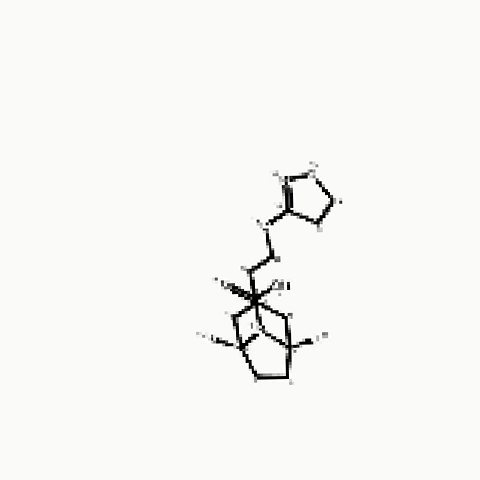 O=C(O)N1[C@@H]2CC[C@H]1CC(CCOC1=NOCC1)C2